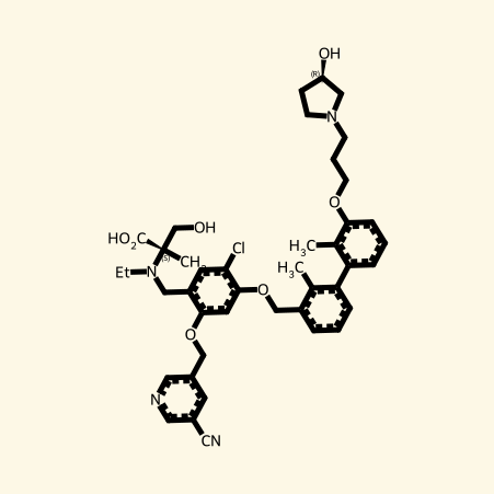 CCN(Cc1cc(Cl)c(OCc2cccc(-c3cccc(OCCCN4CC[C@@H](O)C4)c3C)c2C)cc1OCc1cncc(C#N)c1)[C@@](C)(CO)C(=O)O